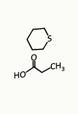 C1CCSCC1.CCC(=O)O